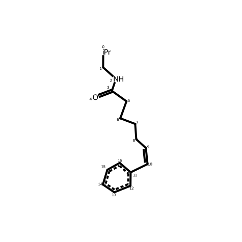 CC(C)CNC(=O)CCCC/C=C\c1ccccc1